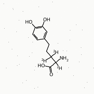 [2H]C([2H])(CCc1ccc(O)c(O)c1)C([2H])(N)C(=O)O